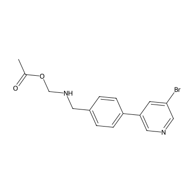 CC(=O)OCNCc1ccc(-c2cncc(Br)c2)cc1